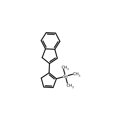 [CH3][Sn]([CH3])([CH3])[C]1=C(C2=Cc3ccccc3[CH]2)CC=C1